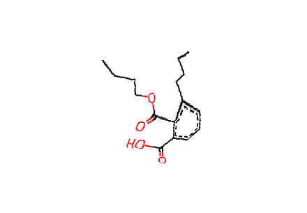 CCCCOC(=O)c1c(CCCC)cccc1C(=O)O